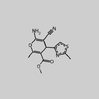 COC(=O)C1=C(C)OC(N)=C(C#N)C1c1csc(C)n1